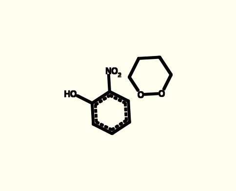 C1CCOOC1.O=[N+]([O-])c1ccccc1O